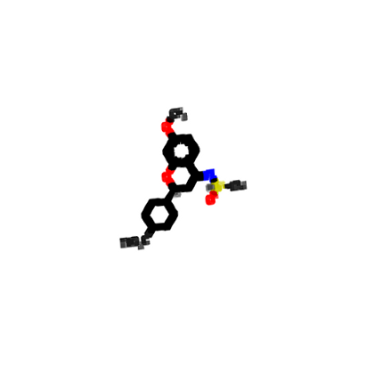 CCOC(=O)C1CCC([C@@H]2CC(=N[S@@+]([O-])C(C)(C)C)c3ccc(OC(F)(F)F)cc3O2)CC1